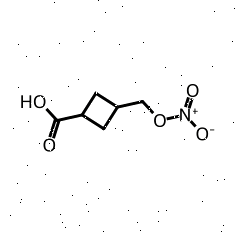 O=C(O)C1CC(CO[N+](=O)[O-])C1